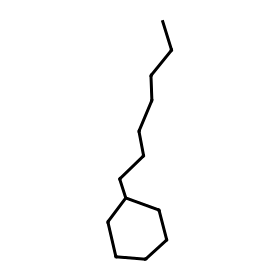 CCCCCCCC1CCCCC1